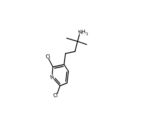 CC(C)(N)CCc1ccc(Cl)nc1Cl